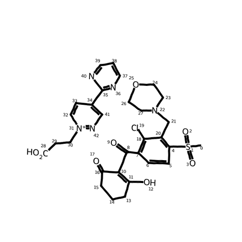 CS(=O)(=O)c1ccc(C(=O)C2=C(O)CCCC2=O)c(Cl)c1CN1CCOCC1.O=C(O)CC[n+]1ccc(-c2ncccn2)cn1